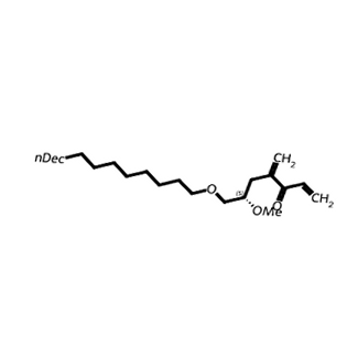 C=CC(=O)C(=C)C[C@@H](COCCCCCCCCCCCCCCCCCC)OC